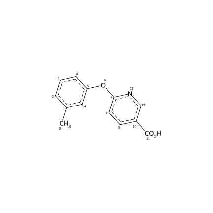 Cc1cccc(Oc2ccc(C(=O)O)cn2)c1